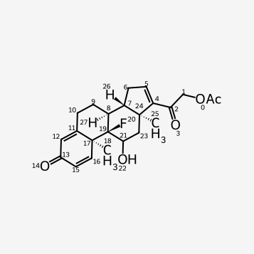 CC(=O)OCC(=O)C1=CC[C@H]2[C@@H]3CCC4=CC(=O)C=C[C@]4(C)[C@@]3(F)C(O)C[C@]12C